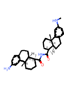 CNc1ccc2c(c1)[C@@]1(C)CCC[C@](C)(C(=O)NC(=O)[C@@]3(C)CCC[C@]4(C)c5cc(N)ccc5CC[C@@H]34)[C@@H]1CC2